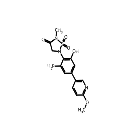 COc1ccc(-c2cc(O)c(N3CC(=O)N(C)S3(=O)=O)c(P)c2)cn1